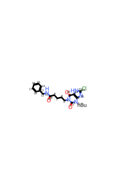 CCCCn1c(=O)n(CCCCC(=O)NCc2ccccc2)c(=O)c2[nH]c(Cl)nc21